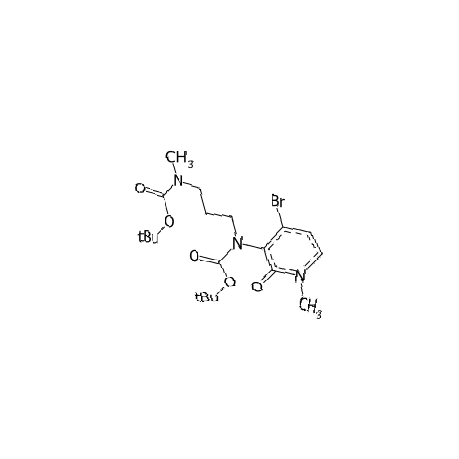 CN(CCCN(C(=O)OC(C)(C)C)c1c(Br)ccn(C)c1=O)C(=O)OC(C)(C)C